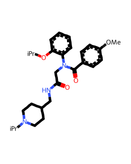 COc1ccc(C(=O)N(CC(=O)NCC2CCN(C(C)C)CC2)c2ccccc2OC(C)C)cc1